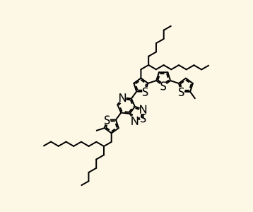 CCCCCCCCC(CCCCCC)Cc1cc(-c2cnc(-c3cc(CC(CCCCCC)CCCCCCCC)c(-c4ccc(-c5ccc(C)s5)s4)s3)c3nsnc23)sc1C